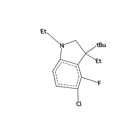 CCN1CC(CC)(C(C)(C)C)c2c1ccc(Cl)c2F